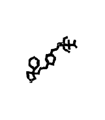 CC[Si](CC)(OCCc1ccc(CCCC2(C3C=CCCC3)C=CSC2)cc1)C(C)(C)C(C)C